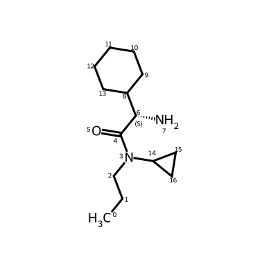 CCCN(C(=O)[C@@H](N)C1CCCCC1)C1CC1